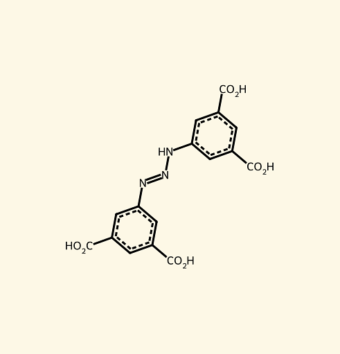 O=C(O)c1cc(N=NNc2cc(C(=O)O)cc(C(=O)O)c2)cc(C(=O)O)c1